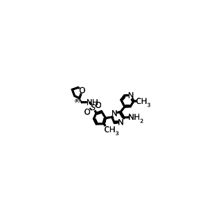 Cc1cc(-c2nc(-c3cc(S(=O)(=O)NC[C@H]4CCCO4)ccc3C)cnc2N)ccn1